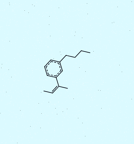 C/C=C(/C)c1cccc(CCCC)c1